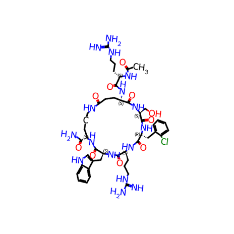 CC(=O)N[C@@H](CCCNC(=N)N)C(=O)N[C@H]1CCC(=O)NCCC[C@@H](C(N)=O)NC(=O)[C@H](Cc2c[nH]c3ccccc23)NC(=O)[C@H](CCCNC(=N)N)NC(=O)[C@@H](Cc2ccccc2Cl)NC(=O)[C@H](CO)NC1=O